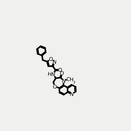 CN1C(=O)C(NC(=O)c2cc(Cc3ccccc3)on2)COc2ccc3ncccc3c21